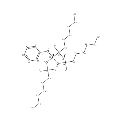 CCCCCCC(C)(C)O[PH](Oc1ccccc1)(OC(C)(C)CCCCCC)C(C)(C)CCCCCC